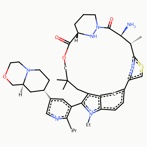 CCn1c(-c2cc([C@H]3CCN4CCOC[C@@H]4C3)cnc2C(C)C)c2c3cc(ccc31)-c1csc(n1)[C@@H](C)[C@H](N)C(=O)N1CCC[C@H](N1)C(=O)OCC(C)(C)C2